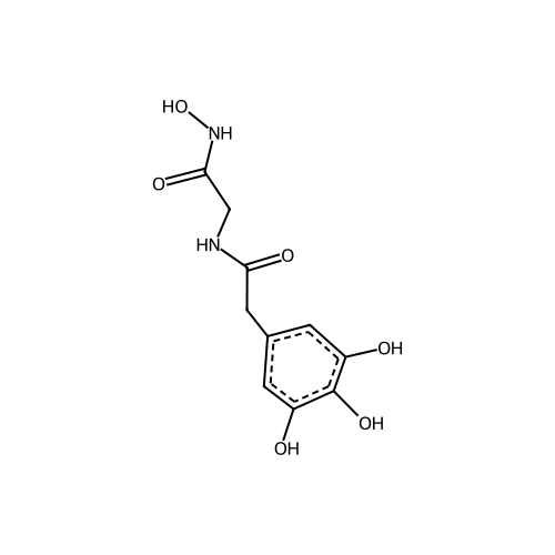 O=C(CNC(=O)Cc1cc(O)c(O)c(O)c1)NO